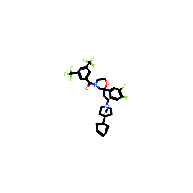 O=C(c1cc(C(F)(F)F)cc(C(F)(F)F)c1)N1CCOC(CC[N+]23CCC(c4ccccc4)(CC2)CC3)(c2ccc(F)c(F)c2)C1